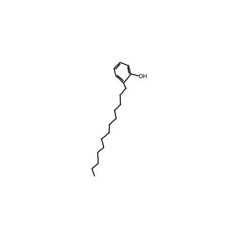 CCCCCCCCCCCC[CH]c1ccccc1O